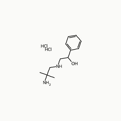 CC(C)(N)CNCC(O)c1ccccc1.Cl.Cl